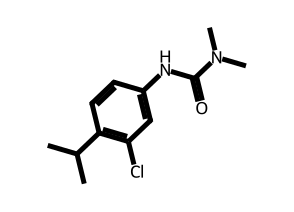 CC(C)c1ccc(NC(=O)N(C)C)cc1Cl